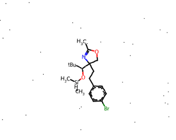 CC1=NC(CCc2ccc(Br)cc2)(C(O[SiH](C)C)C(C)(C)C)CO1